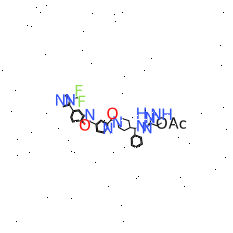 CC(=O)OC/C(N=N)=N/N[C@H](c1ccccc1)C1CCN(C(=O)c2cc(-c3nc4cc(-c5cncn5C(F)F)ccc4o3)ccn2)CC1